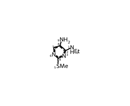 CCNc1nc(SC)ncc1N